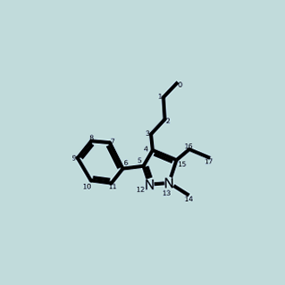 CCCCc1c(-c2ccccc2)nn(C)c1CC